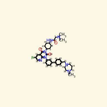 CN(C)CC(=O)NC1CCC(n2c(=O)c3cc(F)cnc3n(-c3cccc(-c4ccc(CN5CCCN(C)CC5)cc4)c3)c2=O)CC1